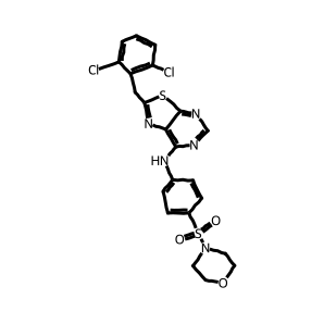 O=S(=O)(c1ccc(Nc2ncnc3sc(Cc4c(Cl)cccc4Cl)nc23)cc1)N1CCOCC1